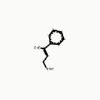 CCCCCCCCC=C(C=O)c1ccccc1